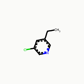 CCc1cn[c]c(Cl)c1